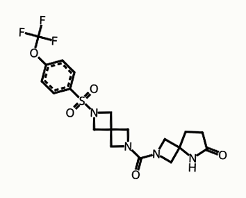 O=C1CCC2(CN(C(=O)N3CC4(C3)CN(S(=O)(=O)c3ccc(OC(F)(F)F)cc3)C4)C2)N1